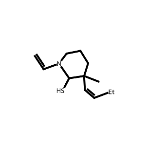 C=CN1CCCC(C)(/C=C\CC)C1S